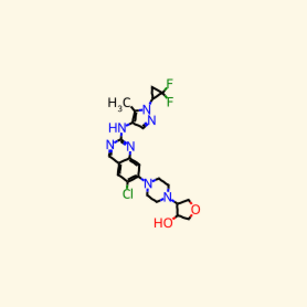 Cc1c(Nc2ncc3cc(Cl)c(N4CCN(C5COCC5O)CC4)cc3n2)cnn1C1CC1(F)F